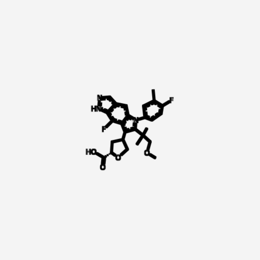 COCC(C)(C)c1c(C2CO[C@H](C(=O)O)C2)c2c(F)c3[nH]ncc3cc2n1-c1ccc(F)c(C)c1